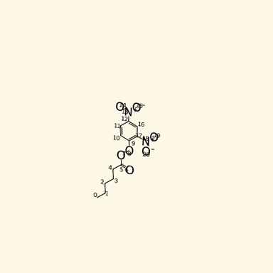 CCCCCC(=O)OOc1ccc([N+](=O)[O-])cc1[N+](=O)[O-]